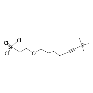 C[Si](C)(C)C#CCCCCOCC[Si](Cl)(Cl)Cl